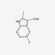 Cc1[nH]c2ccc(F)cc2c1C=O